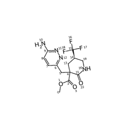 COC(=O)C1(Cc2ccc(N)nn2)C[C@@H](C(F)(F)F)CNC1=O